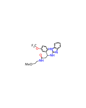 COCCNC(=O)CC(Nc1nc2ccccc2[nH]1)c1cccc(OC(F)(F)F)c1